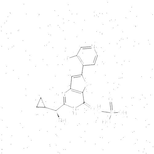 N[C@H](c1nc2cc(-c3ccncc3F)sc2c(=O)[nH]1)C1CC1.O=P(O)(O)O